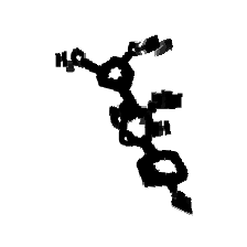 CCCCN(NC(=O)c1ccc(C(C)(C)C)cc1)C(=O)c1cc(C)cc(C)c1